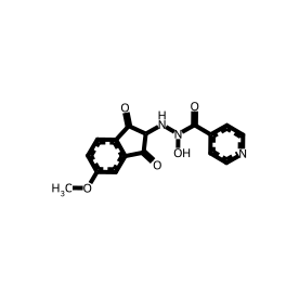 COc1ccc2c(c1)C(=O)C(NN(O)C(=O)c1ccncc1)C2=O